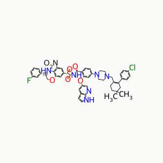 CC1(C)CCC(CN2CCN(c3ccc(C(=O)NS(=O)(=O)c4cc5c(c([N+](=O)[O-])c4)N[C@@H](c4cccc(F)c4)CO5)c(Oc4cnc5[nH]ccc5c4)c3)CC2)=C(c2ccc(Cl)cc2)C1